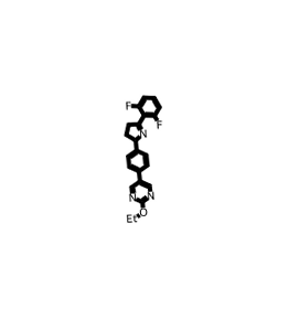 CCOc1ncc(-c2ccc(C3CCC(c4c(F)cccc4F)=N3)cc2)cn1